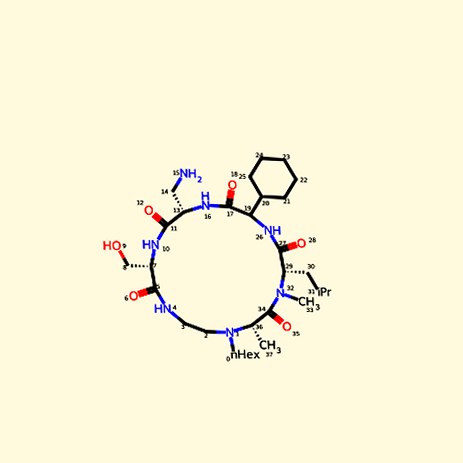 CCCCCCN1CCNC(=O)[C@H](CO)NC(=O)[C@H](CN)NC(=O)C(C2CCCCC2)NC(=O)[C@H](CC(C)C)N(C)C(=O)[C@@H]1C